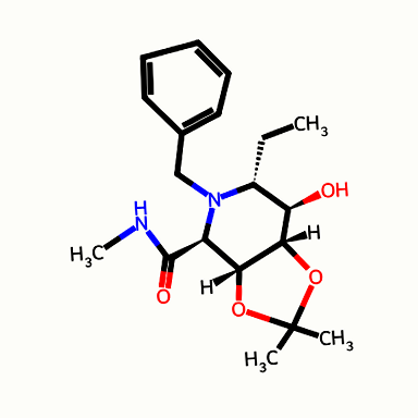 CC[C@@H]1[C@@H](O)[C@@H]2OC(C)(C)O[C@@H]2[C@@H](C(=O)NC)N1Cc1ccccc1